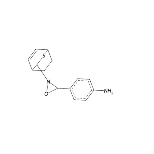 Nc1ccc(C2ON2C2SC3C=CC2CC3)cc1